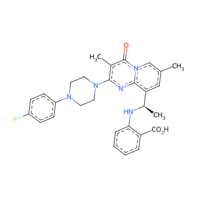 Cc1cc([C@@H](C)Nc2ccccc2C(=O)O)c2nc(N3CCN(c4ccc(F)cc4)CC3)c(C)c(=O)n2c1